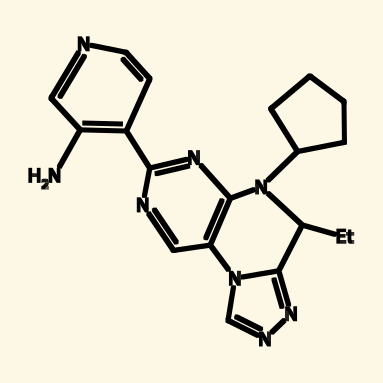 CCC1c2nncn2-c2cnc(-c3ccncc3N)nc2N1C1CCCC1